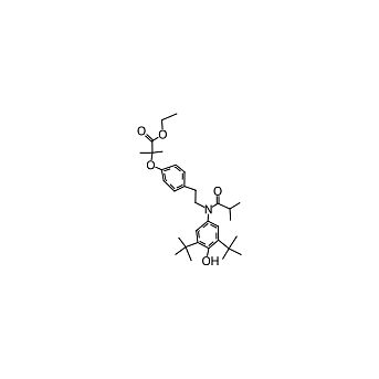 CCOC(=O)C(C)(C)Oc1ccc(CCN(C(=O)C(C)C)c2cc(C(C)(C)C)c(O)c(C(C)(C)C)c2)cc1